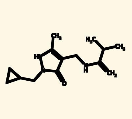 C=C(NCc1c(C)[nH]n(CC2CC2)c1=O)C(C)C